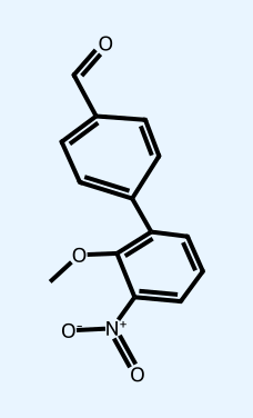 COc1c(-c2ccc(C=O)cc2)cccc1[N+](=O)[O-]